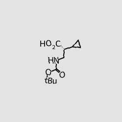 CC(C)(C)OC(=O)NC[C@H](C(=O)O)C1CC1